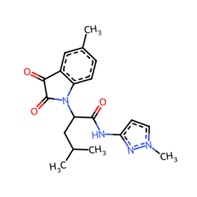 Cc1ccc2c(c1)C(=O)C(=O)N2C(CC(C)C)C(=O)Nc1ccn(C)n1